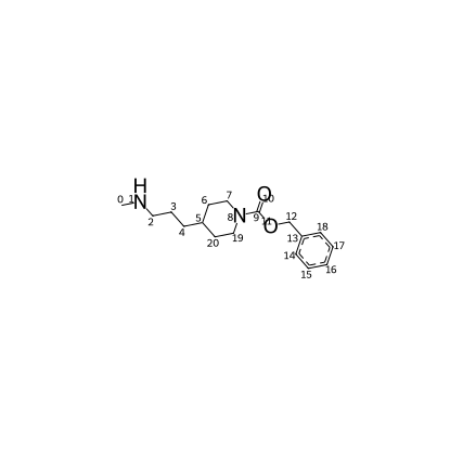 CNCCCC1CCN(C(=O)OCc2ccccc2)CC1